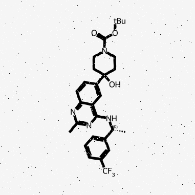 Cc1nc(N[C@H](C)c2cccc(C(F)(F)F)c2)c2cc(C3(O)CCN(C(=O)OC(C)(C)C)CC3)ccc2n1